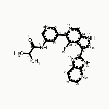 CC(C)C(=O)Nc1cncc(-c2ncc3[nH]nc(-c4nc5cccnc5[nH]4)c3c2F)c1